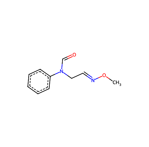 CON=CCN(C=O)c1ccccc1